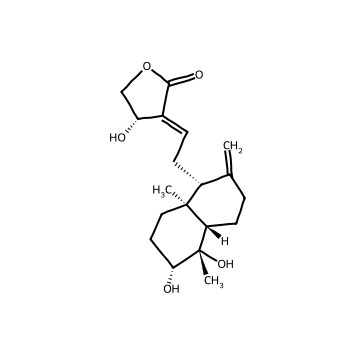 C=C1CC[C@@H]2[C@](C)(O)[C@H](O)CC[C@@]2(C)[C@@H]1C/C=C1/C(=O)OC[C@H]1O